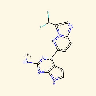 CNc1nc(-c2ccc3ncc(C(F)F)n3n2)c2cc[nH]c2n1